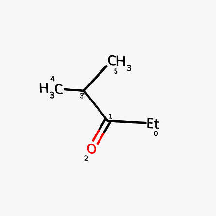 [CH2]CC(=O)[C](C)C